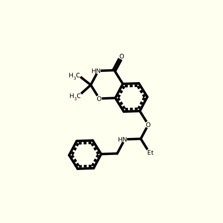 CCC(NCc1ccccc1)Oc1ccc2c(c1)OC(C)(C)NC2=O